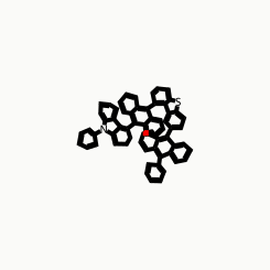 C1=c2c(c3ccccc3n2-c2ccccc2)=C(c2c3ccccc3c(-c3cccc4sc5ccc(-c6c7ccccc7c(-c7ccccc7)c7ccccc67)cc5c34)c3ccccc23)CC1